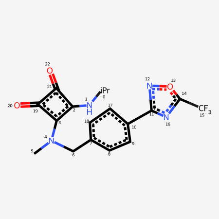 CC(C)Nc1c(N(C)Cc2ccc(-c3noc(C(F)(F)F)n3)cc2)c(=O)c1=O